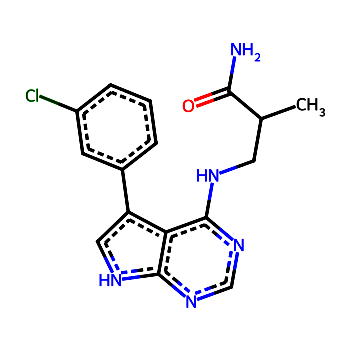 CC(CNc1ncnc2[nH]cc(-c3cccc(Cl)c3)c12)C(N)=O